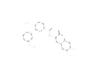 COc1cccc(-c2cc(C(=O)Nc3cc4cc(OC)c(NC(C)=O)c(C)c4oc3=O)ccc2OC)c1